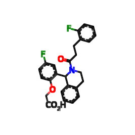 O=C(O)COc1ccc(F)cc1C1c2ccccc2CCN1C(=O)CCc1ccccc1F